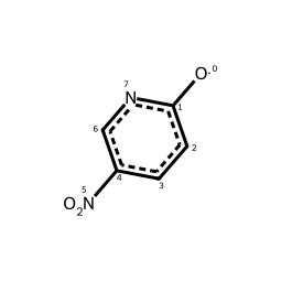 [O]c1ccc([N+](=O)[O-])cn1